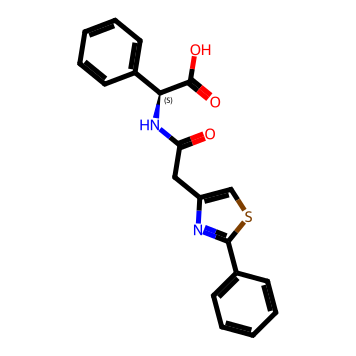 O=C(Cc1csc(-c2ccccc2)n1)N[C@H](C(=O)O)c1ccccc1